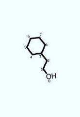 OCC[C]1CCCCC1